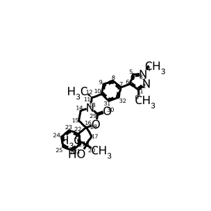 Cc1nn(C)cc1-c1ccc([C@H](C)N2CCC(CC(C)(C)O)(c3ccccc3)OC2=O)cc1